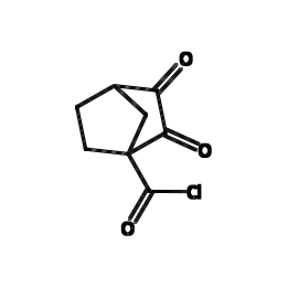 O=C1C(=O)C2(C(=O)Cl)CCC1C2